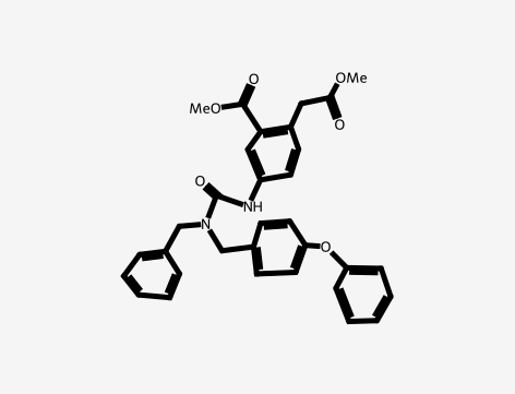 COC(=O)Cc1ccc(NC(=O)N(Cc2ccccc2)Cc2ccc(Oc3ccccc3)cc2)cc1C(=O)OC